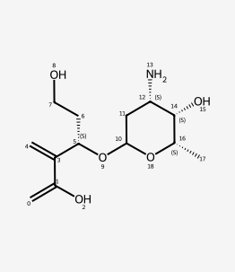 C=C(O)C(=C)[C@H](CCO)OC1C[C@H](N)[C@H](O)[C@H](C)O1